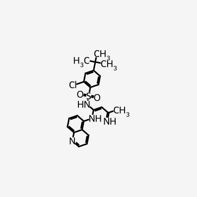 CC(=N)/C=C(\Nc1cccc2ncccc12)NS(=O)(=O)c1ccc(C(C)(C)C)cc1Cl